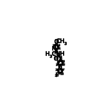 COc1ccc([C@@H](C)NC(=O)Cc2ccc(N3CCC(F)C3)cc2)nc1